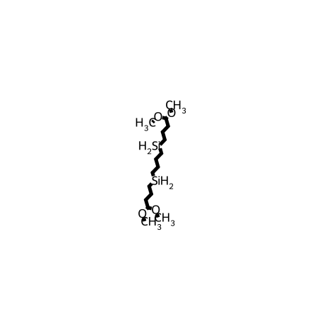 COC(CCC[SiH2]CCCC[SiH2]CCCC(OC)OC)OC